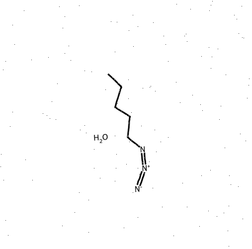 CCCCCN=[N+]=[N-].O